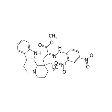 CCC1(C/C(=N/Nc2ccc([N+](=O)[O-])cc2[N+](=O)[O-])C(=O)OC)CCCN2CCc3c([nH]c4ccccc34)C21